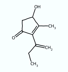 C=C(CC)C1=C(C)C(O)CC1=O